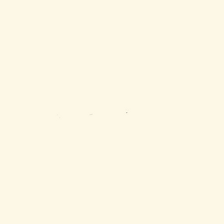 O=C(C=S)CBr